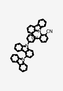 N#Cc1cccc(-c2cccc(-n3c4ccccc4c4c(-n5c6ccccc6c6ccccc65)cccc43)c2)c1-n1c2ccccc2c2cccc(C#N)c21